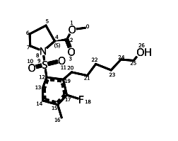 COC(=O)[C@@H]1CCCN1S(=O)(=O)c1ccc(C)c(F)c1CCCCCCO